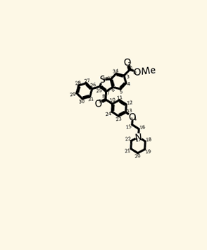 COC(=O)c1ccc2c(C(=O)c3ccc(OCCN4CCCCC4)cc3)c(-c3ccccc3)sc2c1